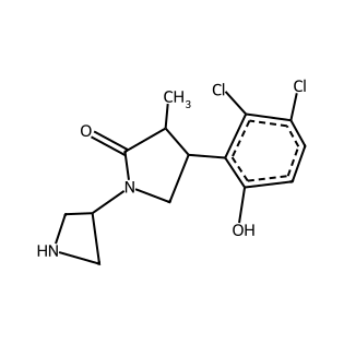 CC1C(=O)N(C2CNC2)CC1c1c(O)ccc(Cl)c1Cl